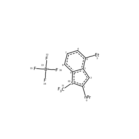 CCCc1cc2c(CC)cccc2[s+]1C(F)(F)F.F[B-](F)(F)F